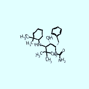 CC(C)(C)C(NC1CCCCC1(C)C)[C@H](O)[C@H](Cc1ccccc1)OC(N)=O